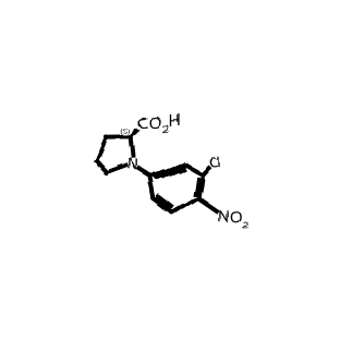 O=C(O)[C@@H]1CCCN1c1ccc([N+](=O)[O-])c(Cl)c1